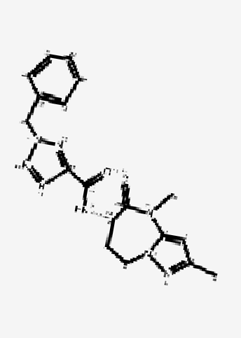 Cc1cc2n(n1)CC[C@H](NC(=O)c1nnn(Cc3ccccc3)n1)C(=O)N2C